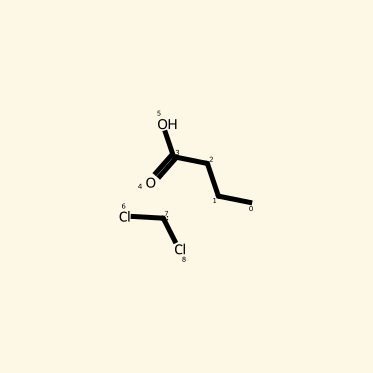 CCCC(=O)O.Cl[C]Cl